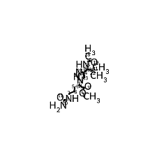 COC(=O)[C@H](CCCNC(N)=O)n1cc([C@@H](NC(C)=O)C(C)C)nn1